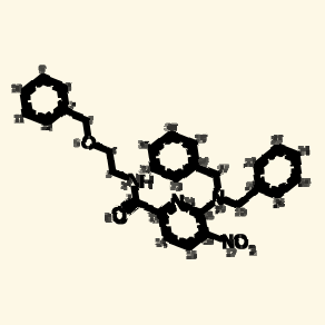 O=C(NCCOCc1ccccc1)c1ccc([N+](=O)[O-])c(N(Cc2ccccc2)Cc2ccccc2)n1